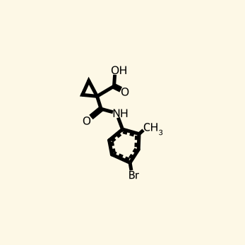 Cc1cc(Br)ccc1NC(=O)C1(C(=O)O)CC1